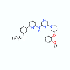 CCOc1ccccc1OC1CCCN(c2cncc(Nc3cccc(-c4cccc(C(C)(C)C(=O)O)c4)n3)n2)C1